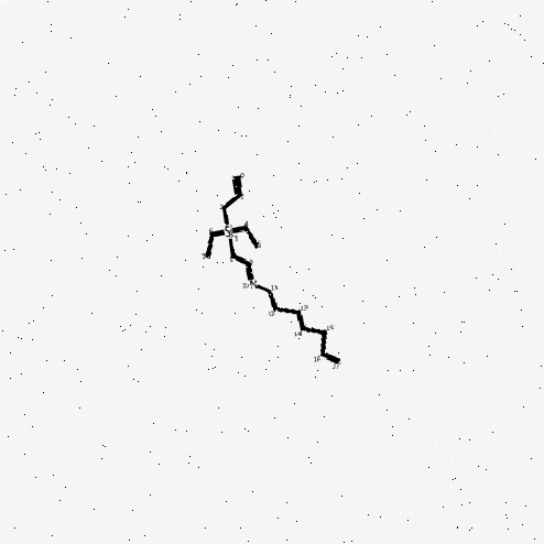 C=CC[Si](CC)(CC)CC=NCCCCCCC